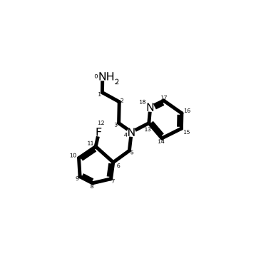 NCCCN(Cc1ccccc1F)c1ccccn1